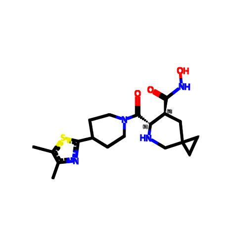 Cc1nc(C2CCN(C(=O)[C@H]3NCC4(CC4)C[C@@H]3C(=O)NO)CC2)sc1C